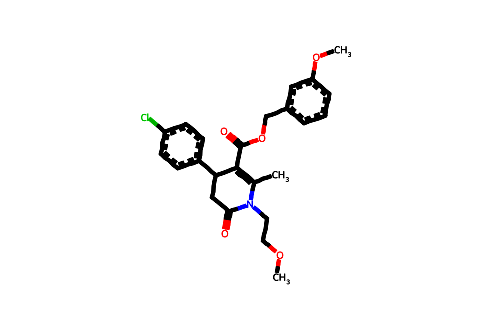 COCCN1C(=O)CC(c2ccc(Cl)cc2)C(C(=O)OCc2cccc(OC)c2)=C1C